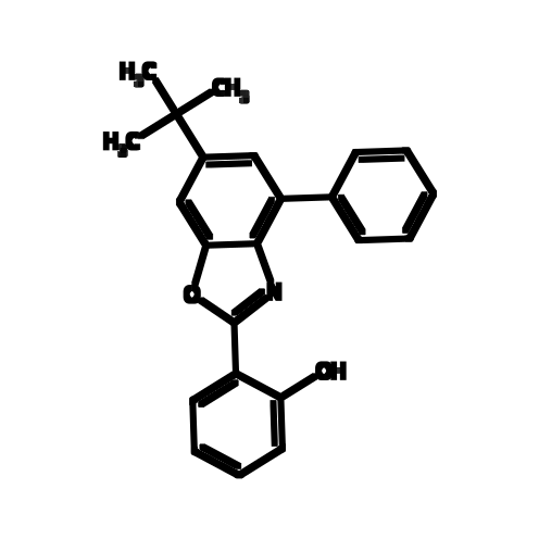 CC(C)(C)c1cc(-c2ccccc2)c2nc(-c3ccccc3O)oc2c1